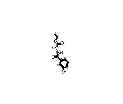 CCOC(=O)NNC(=O)c1cccc(S)c1